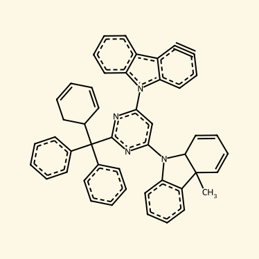 CC12C=CC=CC1N(c1cc(-n3c4ccc#cc4c4ccccc43)nc(C(c3ccccc3)(c3ccccc3)C3C=CC=CC3)n1)c1ccccc12